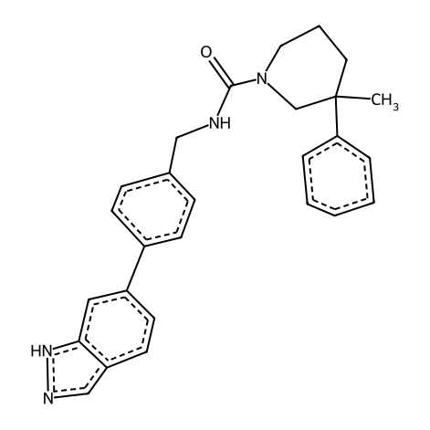 CC1(c2ccccc2)CCCN(C(=O)NCc2ccc(-c3ccc4cn[nH]c4c3)cc2)C1